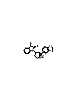 CC[N+]12CCC(n3c(=O)[nH]c4ccccc43)CC1(c1ccc3c(c1)OCO3)O2